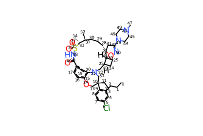 CCCc1cc(Cl)ccc1[C@]1(CC)COc2ccc3cc2N(C[C@@H]2CC[C@H]2[C@@]2(CCC[C@H](C)[C@@H](C)S(=O)(=O)NC3=O)CC(N3CCN(C)CC3)=NO2)C1